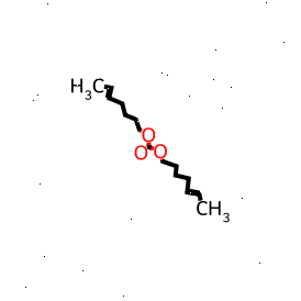 CC=CCCCCOC(=O)OCCCCC=CC